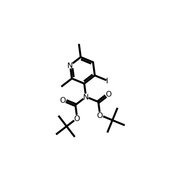 Cc1cc(I)c(N(C(=O)OC(C)(C)C)C(=O)OC(C)(C)C)c(C)n1